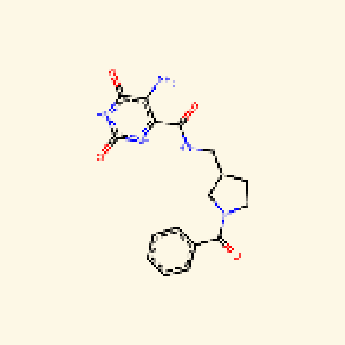 Nc1c(C(=O)NCC2CCN(C(=O)c3ccccc3)C2)[nH]c(=O)[nH]c1=O